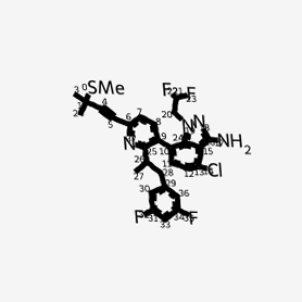 CSC(C)(C)C#Cc1ccc(-c2ccc(Cl)c3c(N)nn(CC(F)F)c23)c(C(C)Cc2cc(F)cc(F)c2)n1